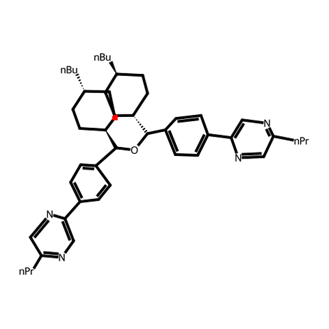 CCCC[C@H]1CC[C@H](C(OC(c2ccc(-c3cnc(CCC)cn3)cc2)[C@H]2CC[C@H](CCCC)CC2)c2ccc(-c3cnc(CCC)cn3)cc2)CC1